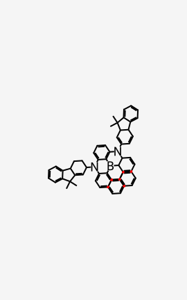 CC1(C)C2=CC(N3c4cccc(-c5ccccc5)c4B4c5c(cccc53)N(C3=CC5C(C=C3)c3ccccc3C5(C)C)C3C=CC=C(c5ccccc5)C43)CCC2c2ccccc21